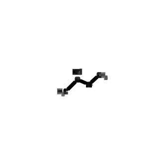 C[O][Al][CH3].Cl